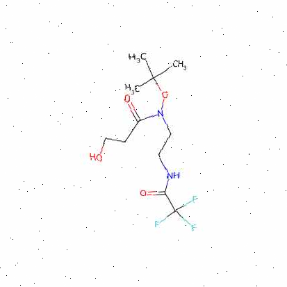 CC(C)(C)ON(CCNC(=O)C(F)(F)F)C(=O)CCO